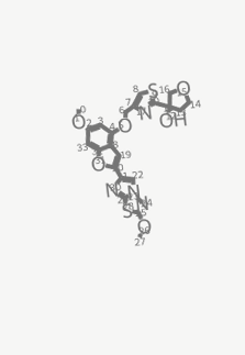 COc1cc(OCc2csc(C3(O)CCOC3)n2)c2cc(-c3cn4nc(OC)sc4n3)oc2c1